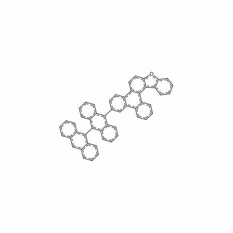 c1ccc2c(-c3c4ccccc4c(-c4ccc5c(c4)c4ccccc4c4c5ccc5oc6ccccc6c54)c4ccccc34)c3ccccc3cc2c1